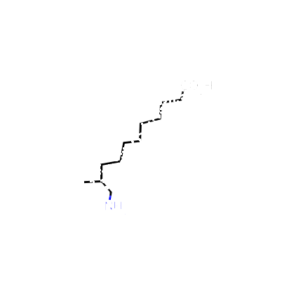 CC(CN)CCCCCCCCC(=O)O